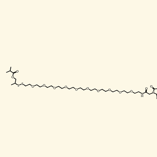 CC(COC(=O)C(C)C)SSCCOCCOCCOCCOCCOCCOCCOCCOCCOCCOCCNC(=O)CN1C(=O)CC(C)C1=O